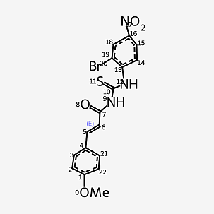 COc1ccc(/C=C/C(=O)NC(=S)Nc2ccc([N+](=O)[O-])cc2Br)cc1